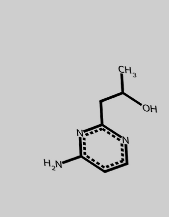 CC(O)Cc1nccc(N)n1